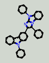 c1ccc(-c2c(-c3ccc4c(c3)c3ccccc3n4-c3ccccc3)nc3n(-c4ccccc4)c4ccccc4n23)cc1